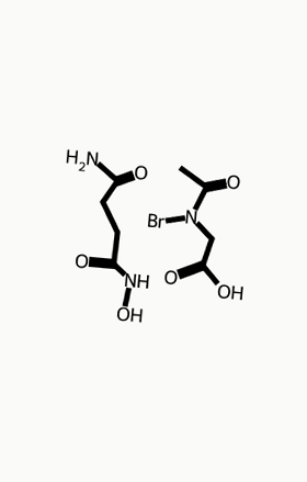 CC(=O)N(Br)CC(=O)O.NC(=O)CCC(=O)NO